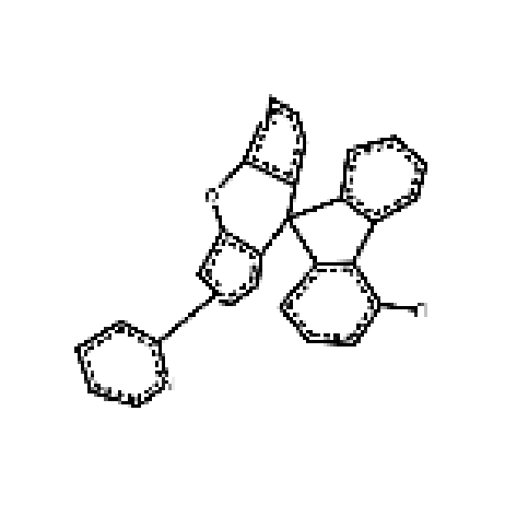 Clc1cccc2c1-c1ccccc1C21c2ccccc2Oc2cc(-c3ccccn3)ccc21